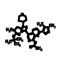 Cc1c(-c2ccc3c(-c4nc(CN(C)C(=O)OC(C)(C)C)c(C5CCOCC5)s4)cnc(OC(N)=O)c3n2)cnn1C